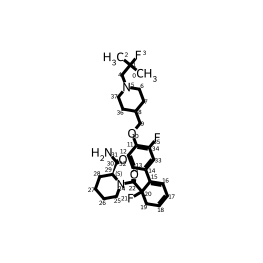 CC(C)(F)CN1CCC(COc2ccc(C3=CC=CCC3(F)C(=O)N3CCCC[C@H]3C(N)=O)cc2F)CC1